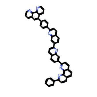 c1ccc(-c2ccc3ccc4ccc(-c5ccc6ccc(-c7ccc8ccc(-c9ccc(-c%10cc%11cccnc%11c%11ncccc%10%11)cc9)nc8c7)nc6c5)nc4c3n2)cc1